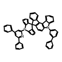 c1ccc(-c2cccc(-n3c4ccccc4c4c5c(ccc43)C3(c4ccccc4-5)c4ccccc4N(c4cc(-c5ccccc5)cc(-c5ccccc5)n4)c4ccccc43)c2)cc1